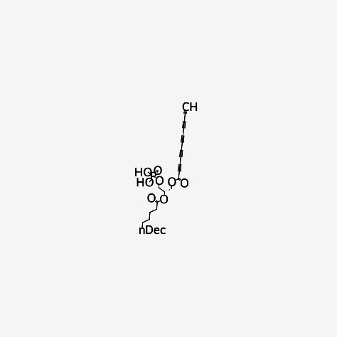 C#CC#CC#CC#CC#CC(=O)OC[C@@H](COP(=O)(O)O)OC(=O)CCCCCCCCCCCCCC